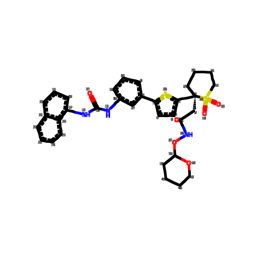 O=C(C[C@]1(c2ccc(-c3cccc(NC(=O)Nc4cccc5ccccc45)c3)s2)CCCCS1(=O)=O)NOC1CCCCO1